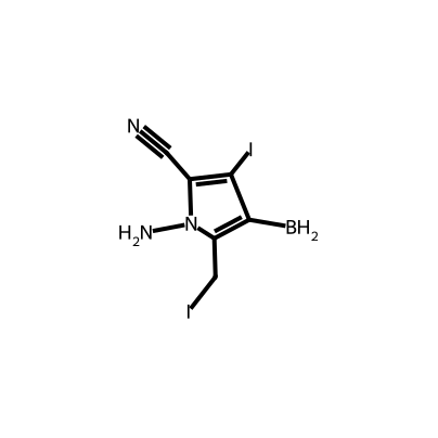 Bc1c(I)c(C#N)n(N)c1CI